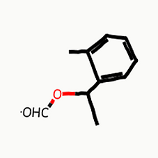 Cc1ccccc1C(C)O[C]=O